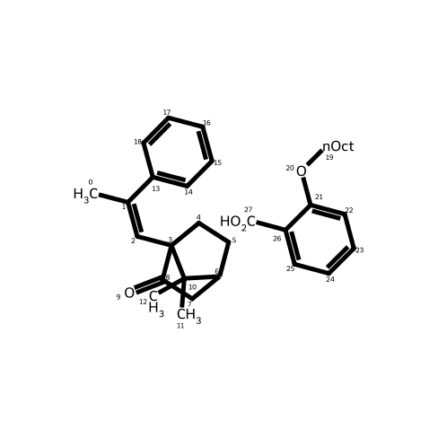 CC(=CC12CCC(CC1=O)C2(C)C)c1ccccc1.CCCCCCCCOc1ccccc1C(=O)O